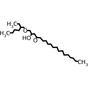 CCCCCCCCCCCCCCCC(=O)CC(O)COCC(CC)CCCC